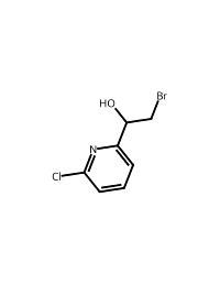 OC(CBr)c1cccc(Cl)n1